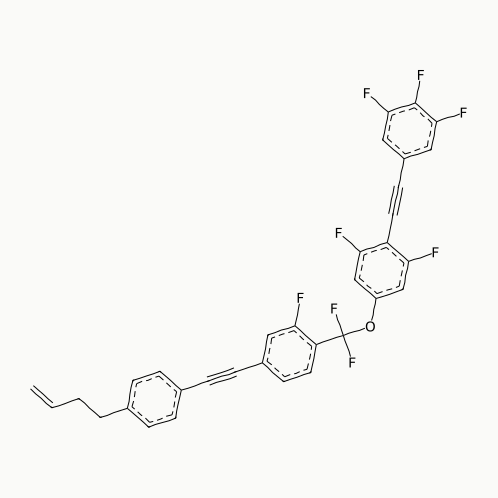 C=CCCc1ccc(C#Cc2ccc(C(F)(F)Oc3cc(F)c(C#Cc4cc(F)c(F)c(F)c4)c(F)c3)c(F)c2)cc1